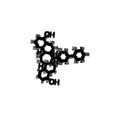 OC1=CC=C[C@@H]2C1=CC[C@@H]1C(c3ccc(-c4ccccc4)cc3)[C@@H]3CC=C4C(O)=CC=C[C@@H]4C3CCC12